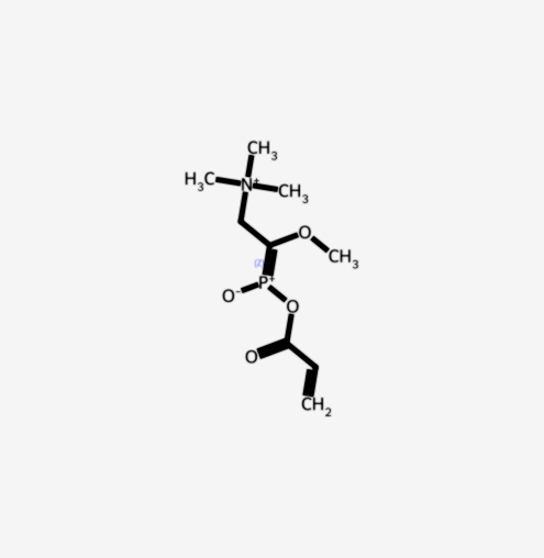 C=CC(=O)O/[P+]([O-])=C(/C[N+](C)(C)C)OC